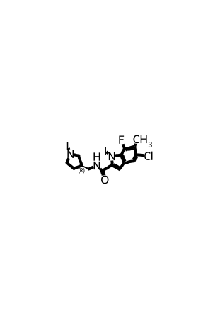 Cc1c(Cl)cc2cc(C(=O)NC[C@H]3CCN(I)C3)n(I)c2c1F